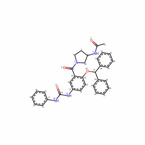 CC(=O)NC1CCN(C(=O)c2cc(NC(=O)Nc3ccccc3)ccc2OC(c2ccccc2)c2ccccc2)C1